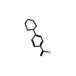 [CH]=C(Cl)c1ccc(C2CCCCC2)cc1